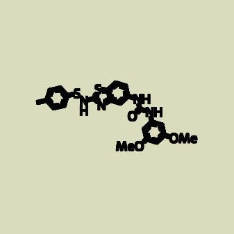 COc1cc(NC(=O)Nc2ccc3sc(NSc4ccc(C)cc4)nc3c2)cc(OC)c1